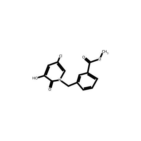 COC(=O)c1cccc(Cn2cc(Cl)cc(O)c2=O)c1